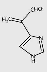 C=C([C]=O)c1c[nH]cn1